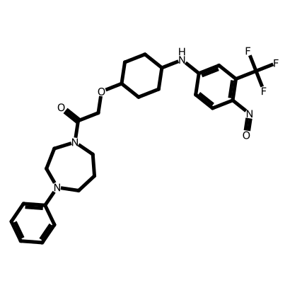 O=Nc1ccc(NC2CCC(OCC(=O)N3CCCN(c4ccccc4)CC3)CC2)cc1C(F)(F)F